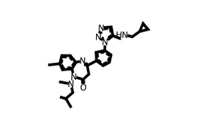 Cc1ccc2c(c1)N(N(C)CC(C)C)C(=O)CC(c1cccc(-n3nncc3CNCC3CC3)c1)=N2